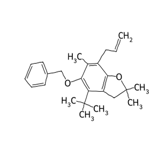 C=CCc1c(C)c(OCc2ccccc2)c(C(C)(C)C)c2c1OC(C)(C)C2